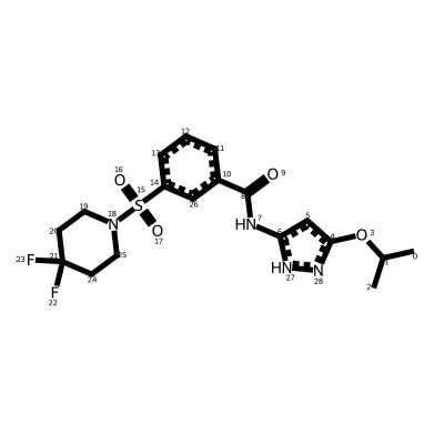 CC(C)Oc1cc(NC(=O)c2cccc(S(=O)(=O)N3CCC(F)(F)CC3)c2)[nH]n1